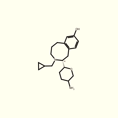 NC1CCC([C@H]2Cc3ccc(O)cc3CCCN2CC2CC2)OC1